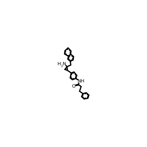 NC1(Cc2ccc3ccccc3c2)CC1c1ccc(NC(=O)CCc2ccccc2)cc1